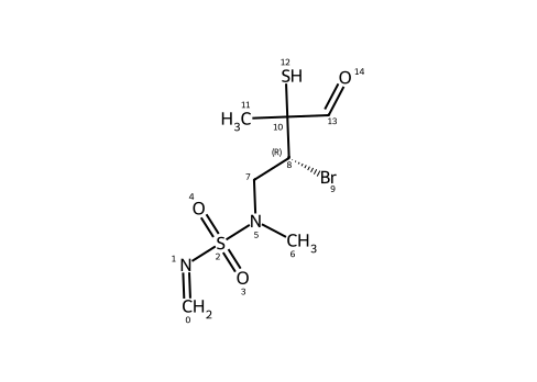 C=NS(=O)(=O)N(C)C[C@@H](Br)C(C)(S)C=O